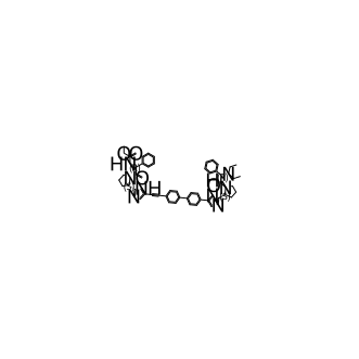 CCN(CC)[C@@H](C(=O)N1CCC[C@H]1c1ncc(-c2ccc(-c3ccc(C#Cc4cnc([C@@H]5CCCN5C(=O)[C@H](NC(=O)OC)c5ccccc5)[nH]4)cc3)cc2)[nH]1)c1ccccc1